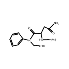 CNNC(CC(N)=O)C(=O)N(C[C]=O)c1ccccc1